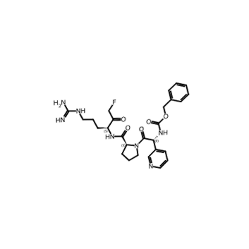 N=C(N)NCCC[C@H](NC(=O)[C@@H]1CCCN1C(=O)[C@H](NC(=O)OCc1ccccc1)c1cccnc1)C(=O)CF